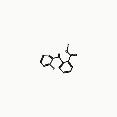 O=C(OF)c1ccccc1Nc1ccccc1F